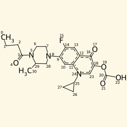 CCCC(=O)N1CCN(c2cc3c(cc2F)c(=O)c(OC(=O)O)cn3C2CC2)CC1C